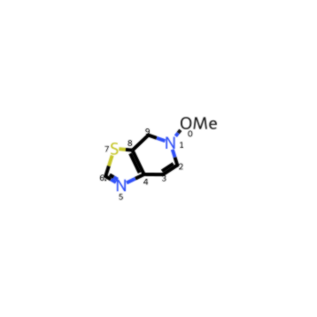 CON1C=Cc2n[c]sc2C1